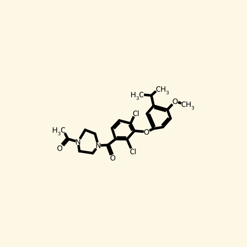 COc1ccc(Oc2c(Cl)ccc(C(=O)N3CCN(C(C)=O)CC3)c2Cl)cc1C(C)C